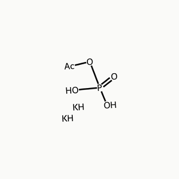 CC(=O)OP(=O)(O)O.[KH].[KH]